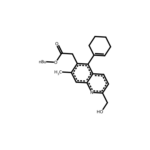 CCCCOC(=O)Cc1c(C)cc2nc(CO)ccc2c1C1=CCCCC1